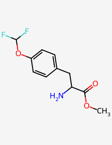 COC(=O)C(N)Cc1ccc(OC(F)F)cc1